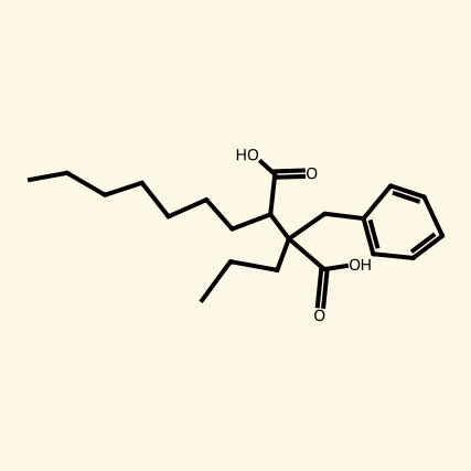 CCCCCCCC(C(=O)O)C(CCC)(Cc1ccccc1)C(=O)O